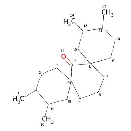 CC1CCC2(CCCC3(CCC(C)C(C)C3)C2=O)CC1C